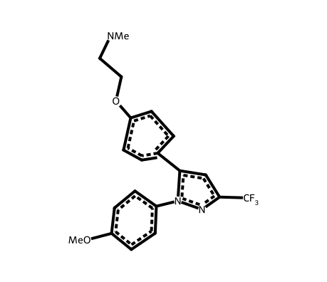 CNCCOc1ccc(-c2cc(C(F)(F)F)nn2-c2ccc(OC)cc2)cc1